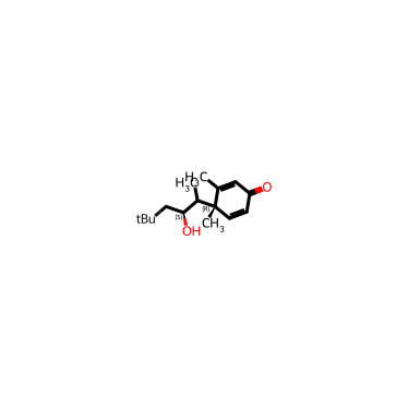 CC1=CC(=O)C=C[C@]1(C)C(C)[C@@H](O)CC(C)(C)C